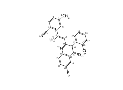 Cc1ccc(C#N)c(/C(O)=C/c2nc3ccc(F)cc3c(=O)n2-c2ccccc2Cl)c1